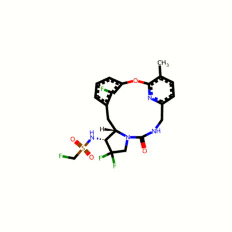 Cc1ccc2nc1Oc1cccc(c1F)C[C@H]1[C@@H](NS(=O)(=O)CF)C(F)(F)CN1C(=O)NC2